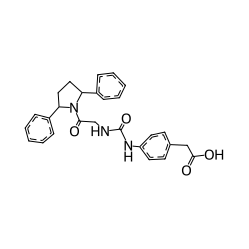 O=C(O)Cc1ccc(NC(=O)NCC(=O)N2C(c3ccccc3)CCC2c2ccccc2)cc1